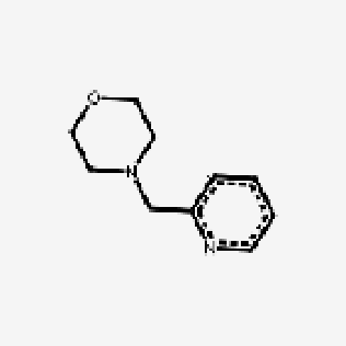 [c]1cccnc1CN1CCOCC1